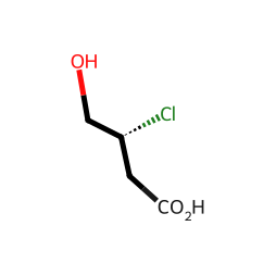 O=C(O)C[C@@H](Cl)CO